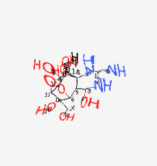 N=C1NC(O)C2C3OC4(O)OC(C(O)C2(N1)[C@@H]4O)C3(O)CO